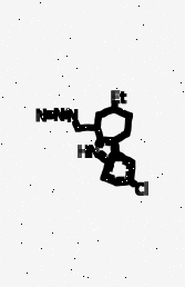 CCC1CCc2c([nH]c3ccc(Cl)cc23)C(CN=[N+]=[N-])C1